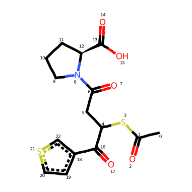 CC(=O)SC(CC(=O)N1CCC[C@H]1C(=O)O)C(=O)c1ccsc1